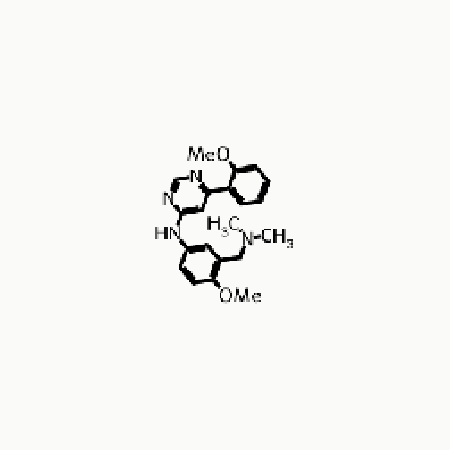 COc1ccc(Nc2cc(-c3ccccc3OC)ncn2)cc1CN(C)C